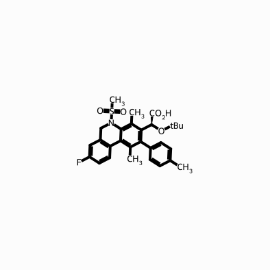 Cc1ccc(-c2c(C)c3c(c(C)c2[C@H](OC(C)(C)C)C(=O)O)N(S(C)(=O)=O)Cc2cc(F)ccc2-3)cc1